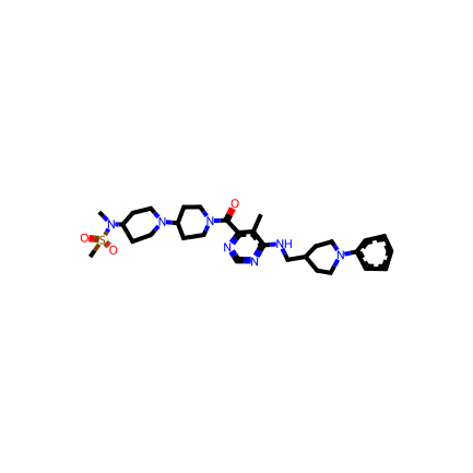 Cc1c(NCC2CCN(c3ccccc3)CC2)ncnc1C(=O)N1CCC(N2CCC(N(C)S(C)(=O)=O)CC2)CC1